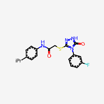 CC(C)c1ccc(NC(=O)CSc2n[nH]c(=O)n2-c2cccc(F)c2)cc1